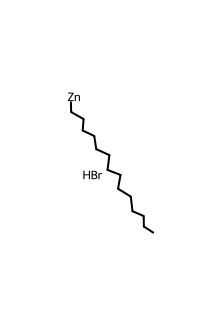 Br.CCCCCCCCCCCCC[CH2][Zn]